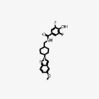 COc1ccc2nn(C3CCC(CNC(=O)c4cc(F)c(O)c(F)c4)CC3)cc2c1